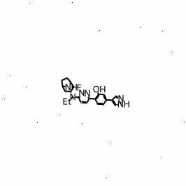 CCN(c1ccc(-c2ccc(-c3cn[nH]c3)cc2O)nn1)[C@@H]1CC2CCC(N2)[C@@H]1F